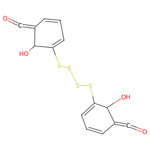 O=C=C1C=CC=C(SSSSC2=CC=CC(=C=O)C2O)C1O